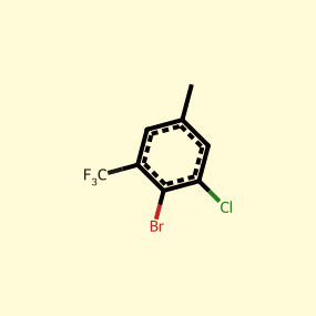 Cc1cc(Cl)c(Br)c(C(F)(F)F)c1